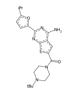 CC(C)c1ccc(-c2nc(N)c3cc(C(=O)N4CCN(C(C)(C)C)CC4)sc3n2)o1